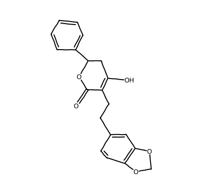 O=C1OC(c2ccccc2)CC(O)=C1CCc1ccc2c(c1)OCO2